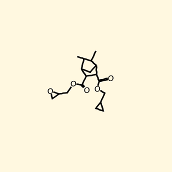 CC1C(C)C2CC1C(C(=O)OCC1CC1)C2C(=O)OCC1CO1